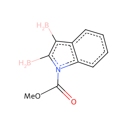 Bc1c(B)n(C(=O)OC)c2ccccc12